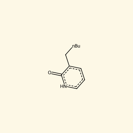 CCCCCc1ccc[nH]c1=O